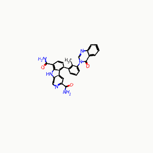 Cc1c(-c2ccc(C(N)=O)c3[nH]c4cnc(C(N)=O)cc4c23)cccc1-n1cnc2ccccc2c1=O